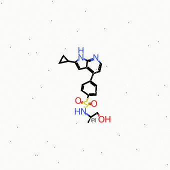 C[C@H](CO)NS(=O)(=O)c1ccc(-c2ccnc3[nH]c(C4CC4)cc23)cc1